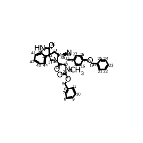 CN(C(=O)OCc1ccccc1)[C@@H](Cc1ccc(OCc2ccccc2)cc1)C(=O)N1C[C@]2(C[C@H]1C#N)C(=O)Nc1ccccc12